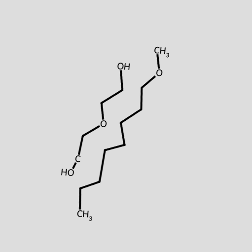 CCCCCCCCOC.OCCOCCO